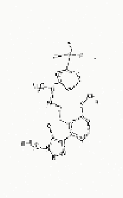 CSc1cccc(-n2nnn(C)c2=O)c1CON=C(C)c1cccc(C(F)(F)F)c1